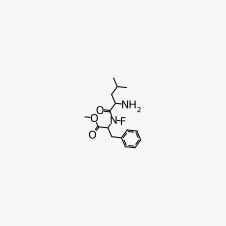 COC(=O)C(Cc1ccccc1)N(F)C(=O)C(N)CC(C)C